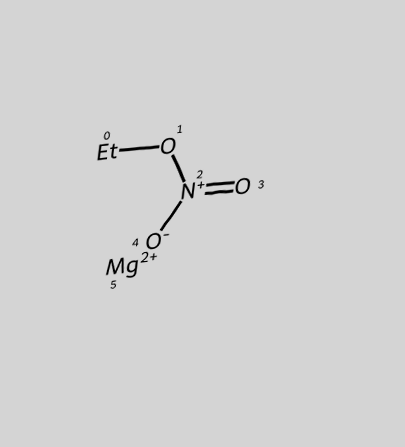 CCO[N+](=O)[O-].[Mg+2]